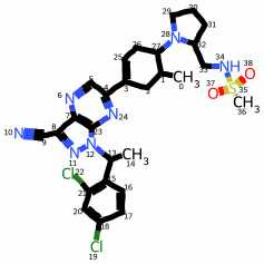 CC1CC(c2cnc3c(C#N)nn(C(C)c4ccc(Cl)cc4Cl)c3n2)=CCC1N1CCCC1CNS(C)(=O)=O